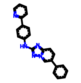 c1ccc(-c2ccc3nc(Nc4ccc(-c5ccccn5)cc4)nn3c2)cc1